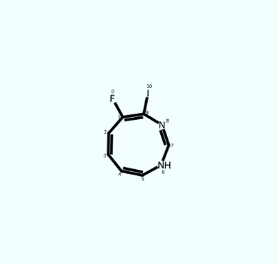 Fc1cccc[nH]cnc1I